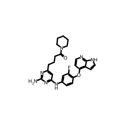 Nc1nc(CCCC(=O)N2CCCCC2)cc(Nc2ccc(Oc3ccnc4[nH]ccc34)c(F)c2)n1